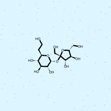 OCC[C@H]1O[C@H](O[C@]2(CO)O[C@H](CO)[C@@H](O)[C@@H]2O)[C@H](O)[C@@H](O)[C@@H]1O